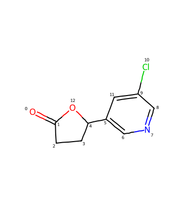 O=C1CCC(c2cncc(Cl)c2)O1